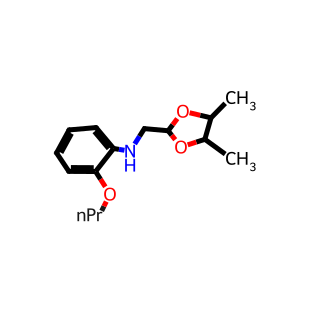 CCCOc1ccccc1NCC1OC(C)C(C)O1